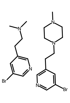 CN(C)CCc1cncc(Br)c1.CN1CCN(CCc2cncc(Br)c2)CC1